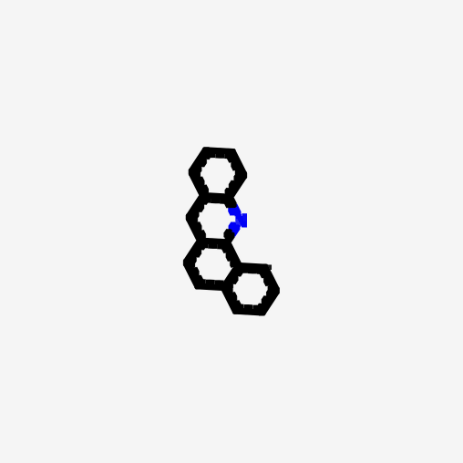 [c]1cccc2ccc3cc4ccccc4nc3c12